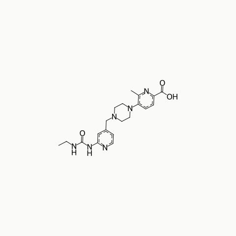 CCNC(=O)Nc1cc(CN2CCN(c3ccc(C(=O)O)nc3C)CC2)ccn1